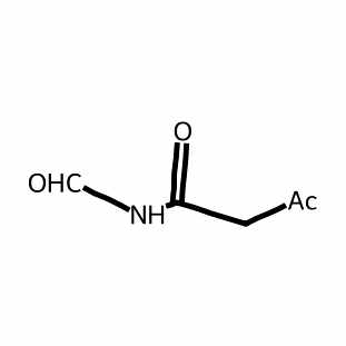 CC(=O)CC(=O)NC=O